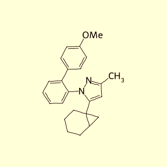 COc1ccc(-c2ccccc2-n2nc(C)cc2C23CCCCC2C3)cc1